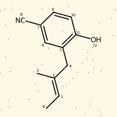 C/C=C(\C)Cc1cc(C#N)ccc1O